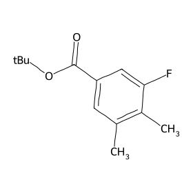 Cc1cc(C(=O)OC(C)(C)C)cc(F)c1C